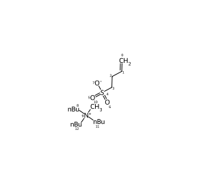 C=CCCS(=O)(=O)[O-].CCCC[N+](C)(CCCC)CCCC